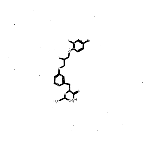 CC(C)OC(Cc1cccc(OCC(F)COc2ccc(Br)cc2F)c1)C(=O)O